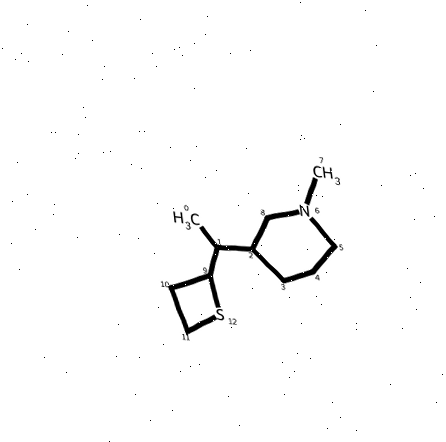 CC(C1CCCN(C)C1)C1CCS1